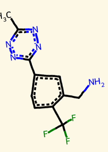 Cc1nnc(-c2ccc(C(F)(F)F)c(CN)c2)nn1